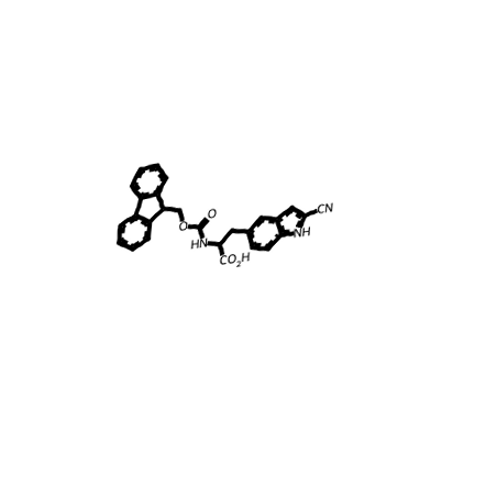 N#Cc1cc2cc(CC(NC(=O)OCC3c4ccccc4-c4ccccc43)C(=O)O)ccc2[nH]1